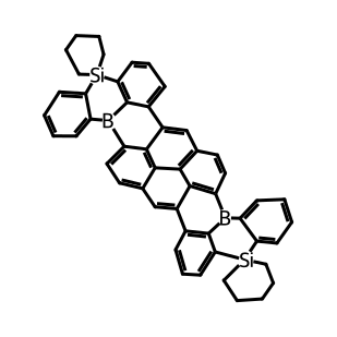 c1ccc2c(c1)B1c3c(cccc3[Si]23CCCCC3)-c2cc3ccc4c5c(cc6ccc1c2c6c35)-c1cccc2c1B4c1ccccc1[Si]21CCCCC1